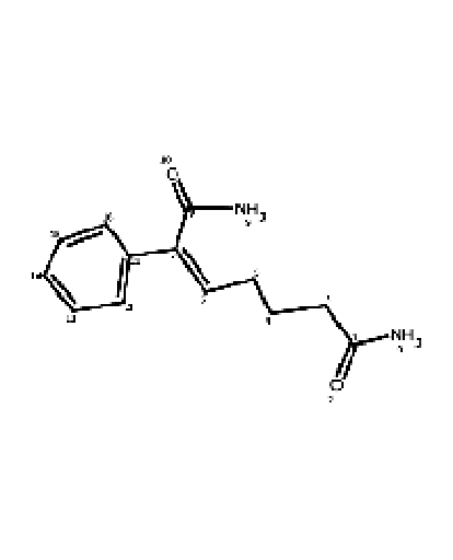 NC(=O)CCCC=C(C(N)=O)c1ccccc1